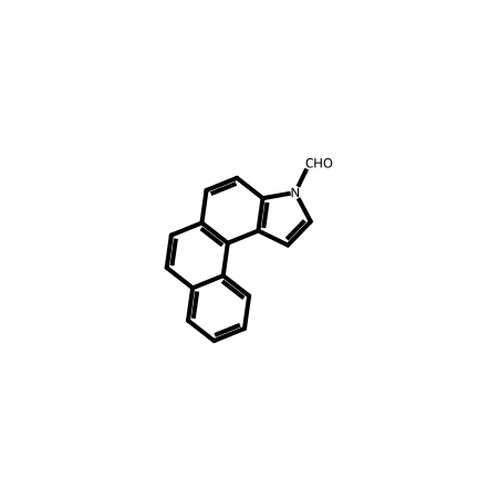 O=Cn1ccc2c3c(ccc4ccccc43)ccc21